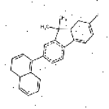 CC1(C)c2cc(C3=C4C=CC=CC4CC=C3)ccc2C2=CC=C(I)CC21